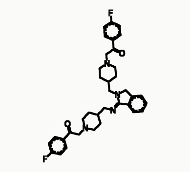 O=C(CN1CCC(C/N=C2/c3ccccc3CN2CC2CCN(CC(=O)c3ccc(F)cc3)CC2)CC1)c1ccc(F)cc1